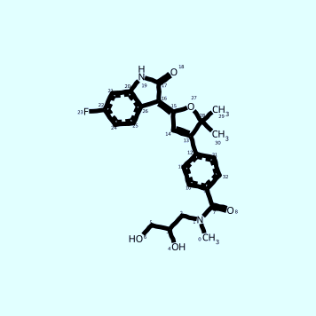 CN(CC(O)CO)C(=O)c1ccc(C2=CC(=C3C(=O)Nc4cc(F)ccc43)OC2(C)C)cc1